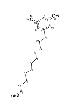 CCCCC=CCCCCCCCCCc1cc(O)cc(O)c1